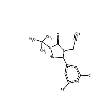 C#CCN1C(=O)N(C(C)(C)C)NC1c1cc(Cl)nc(Cl)c1